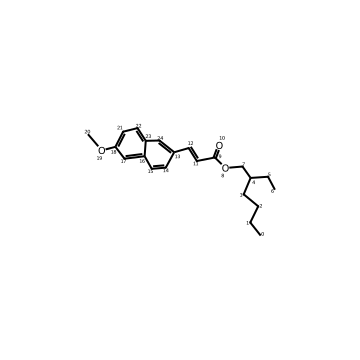 CCCCC(CC)COC(=O)C=Cc1ccc2cc(OC)ccc2c1